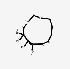 BrC1=C(Br)C(Br)(Br)CCCCCCCCC1